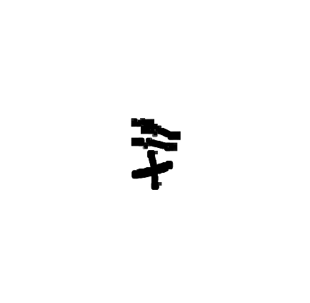 O=S(=O)(O)O.O=S(=O)(O)O.O=S(=O)([O-])[O-].[Ba+2].[SiH4]